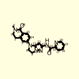 CN1CCc2cc(N3CCn4nc(NC(=O)c5ccccn5)cc43)ccc2C1=O